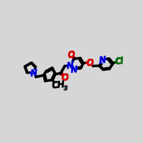 Cc1cc(CN2CCCC2)ccc1C(=O)Cn1ncc(OCc2ccc(Cl)cn2)cc1=O